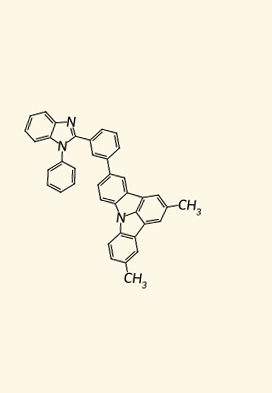 Cc1ccc2c(c1)c1cc(C)cc3c4cc(-c5cccc(-c6nc7ccccc7n6-c6ccccc6)c5)ccc4n2c13